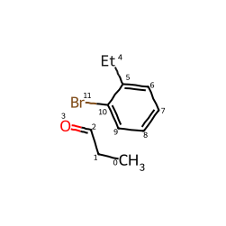 CCC=O.CCc1ccccc1Br